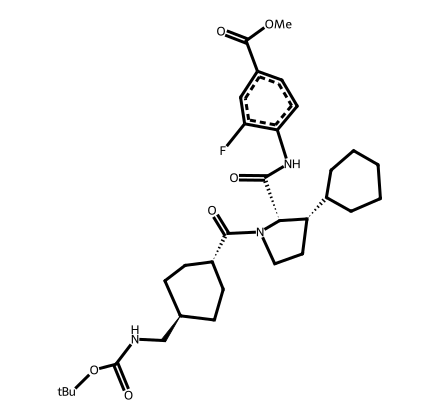 COC(=O)c1ccc(NC(=O)[C@@H]2[C@H](C3CCCCC3)CCN2C(=O)[C@H]2CC[C@H](CNC(=O)OC(C)(C)C)CC2)c(F)c1